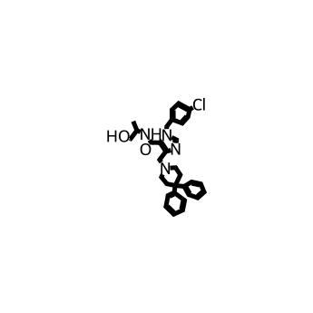 CC(CO)NC(=O)c1c(CN2CCC(c3ccccc3)(c3ccccc3)CC2)ncn1Cc1ccc(Cl)cc1